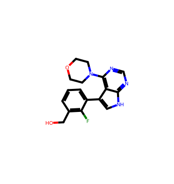 OCc1cccc(-c2c[nH]c3ncnc(N4CCOCC4)c23)c1F